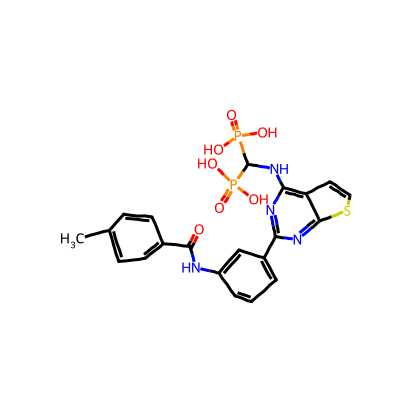 Cc1ccc(C(=O)Nc2cccc(-c3nc(NC(P(=O)(O)O)P(=O)(O)O)c4ccsc4n3)c2)cc1